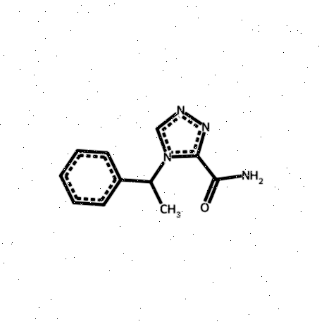 CC(c1ccccc1)n1cnnc1C(N)=O